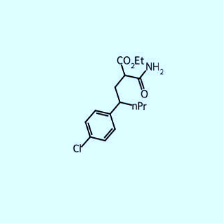 CCCC(CC(C(N)=O)C(=O)OCC)c1ccc(Cl)cc1